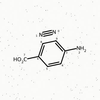 N#N.Nc1ccc(C(=O)O)cc1